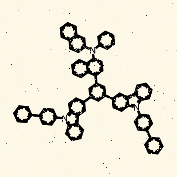 c1ccc(-c2ccc(-n3c4ccccc4c4cc(-c5cc(-c6ccc7c(c6)c6ccccc6n7-c6ccc(-c7ccccc7)cc6)cc(-c6ccc(N(c7ccccc7)c7ccc8ccccc8c7)c7ccccc67)c5)ccc43)cc2)cc1